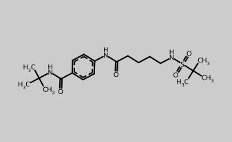 CC(C)(C)NC(=O)c1ccc(NC(=O)CCCCNS(=O)(=O)C(C)(C)C)cc1